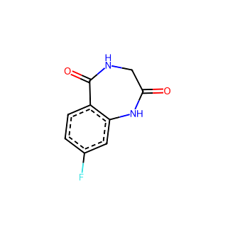 O=C1CNC(=O)c2ccc(F)cc2N1